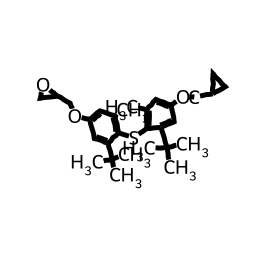 Cc1cc(OCC2CC2)cc(C(C)(C)C)c1Sc1c(C)cc(OCC2CO2)cc1C(C)(C)C